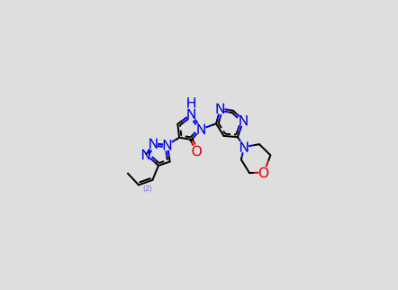 C/C=C\c1cn(-c2c[nH]n(-c3cc(N4CCOCC4)ncn3)c2=O)nn1